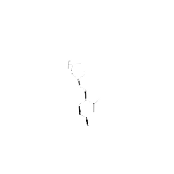 BC/C(C)=C/C=C(\C=C/C=C)C(C)C